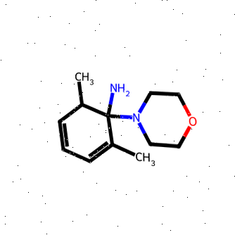 CC1=CC=CC(C)C1(N)N1CCOCC1